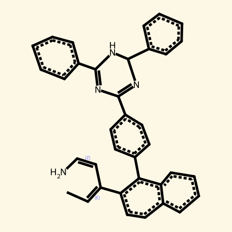 C/C=C(\C=C/N)c1ccc2ccccc2c1-c1ccc(C2=NC(c3ccccc3)NC(c3ccccc3)=N2)cc1